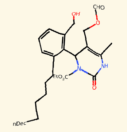 CCCCCCCCCCCCCCCc1cccc(CO)c1C1C(COC=O)=C(C)NC(=O)N1C(=O)OCC